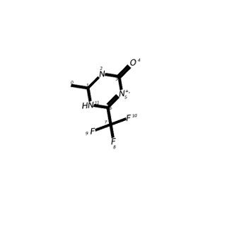 CC1[N]C(=O)[N+]=C(C(F)(F)F)N1